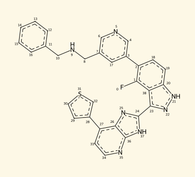 Fc1c(-c2cncc(CNCc3ccccc3)c2)ccc2[nH]nc(-c3nc4c(-c5ccsc5)ccnc4[nH]3)c12